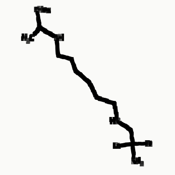 CCCCCCC(C)NCCCCCCNCC(N)(CC)CC